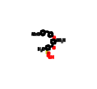 COc1ccc(Cc2ccc(Oc3ccc(C(=O)c4ccc(C)c(SOOO)c4)cc3S(=O)(=O)O)cc2)cc1